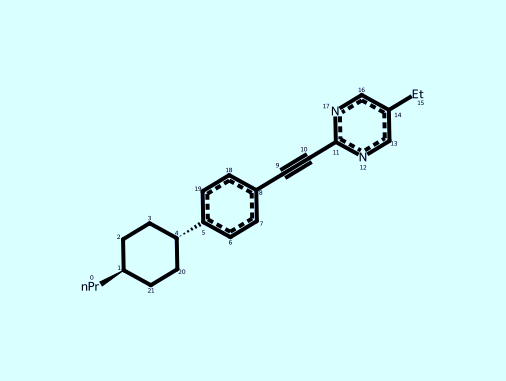 CCC[C@H]1CC[C@H](c2ccc(C#Cc3ncc(CC)cn3)cc2)CC1